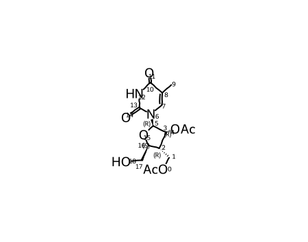 CC(=O)OC[C@H]1[C@@H](OC(C)=O)[C@H](n2cc(C)c(=O)[nH]c2=O)O[C@@H]1CO